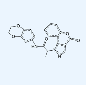 CC(C(=O)Nc1ccc2c(c1)OCCO2)n1ncc2c(=O)oc3ccccc3c21